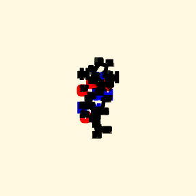 CN1CCN(S(=O)(=O)N2[C@@H]3CC[C@H]2C[C@@H](NC(=O)c2cc(C4CC4)on2)C3)CC1